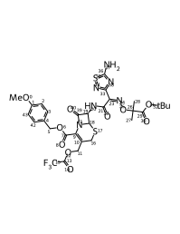 COc1ccc(COC(=O)C2=C(COC(=O)C(F)(F)F)CSC3[C@H](NC(=O)/C(=N\OC(C)(C)C(=O)OC(C)(C)C)c4nsc(N)n4)C(=O)N23)cc1